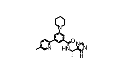 Cc1ccc(-c2cc(C(=O)N[C@@H](C)c3ncn[nH]3)cc(N3CCCCC3)c2)nc1